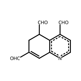 O=CC1=Cc2nccc(C=O)c2C(C=O)C1